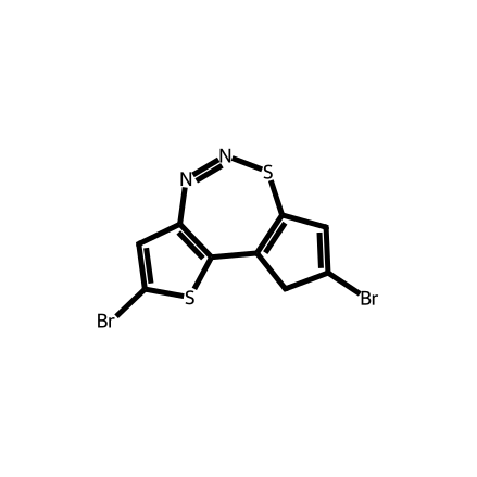 BrC1=CC2=C(C1)c1sc(Br)cc1N=NS2